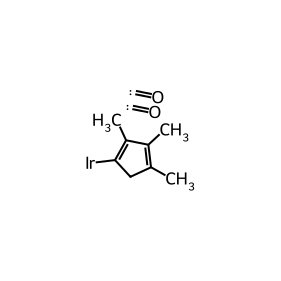 CC1=C(C)C(C)=[C]([Ir])C1.[C]=O.[C]=O